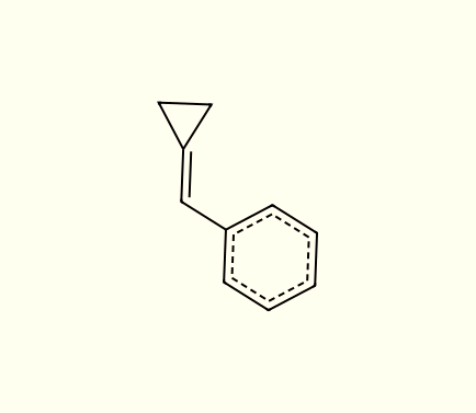 C(=C1CC1)c1ccccc1